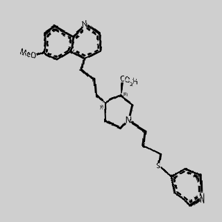 COc1ccc2nccc(CCC[C@@H]3CCN(CCCSc4ccncc4)C[C@@H]3C(=O)O)c2c1